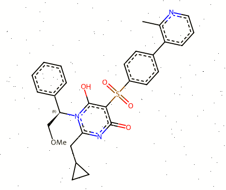 COC[C@@H](c1ccccc1)n1c(CC2CC2)nc(=O)c(S(=O)(=O)c2ccc(-c3cccnc3C)cc2)c1O